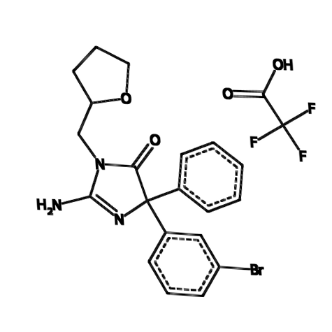 NC1=NC(c2ccccc2)(c2cccc(Br)c2)C(=O)N1CC1CCCO1.O=C(O)C(F)(F)F